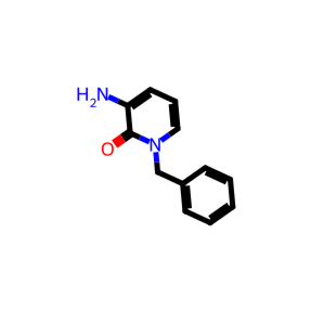 Nc1cccn(Cc2ccccc2)c1=O